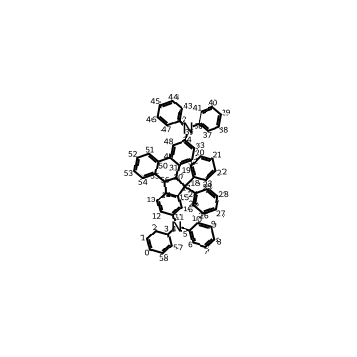 C1=CCC(N(c2ccccc2)c2ccc3c(c2)C(c2ccccc2)(c2ccccc2)C2c4ccc(N(c5ccccc5)c5ccccc5)cc4-c4ccccc4C32)C=C1